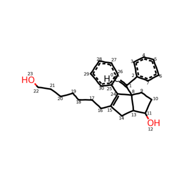 C=C(c1ccccc1)C12CCC(O)C1CC(CCCCCCCO)=C2c1ccccc1